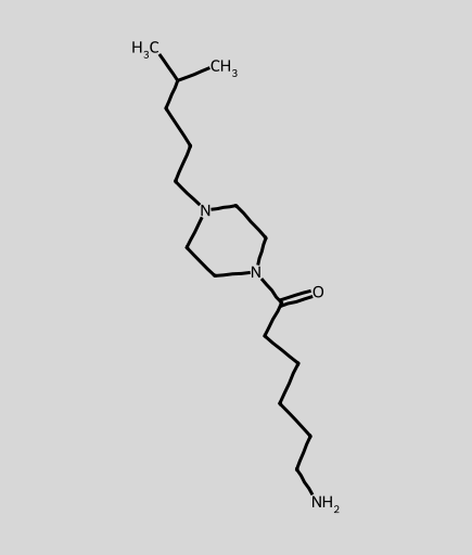 CC(C)CCCN1CCN(C(=O)CCCCCN)CC1